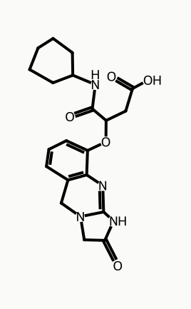 O=C(O)CC(Oc1cccc2c1N=C1NC(=O)CN1C2)C(=O)NC1CCCCC1